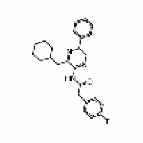 O=C(Cc1ccc(F)cc1)NC1=NCC(c2ccccc2)N=C1CC1CCCCC1